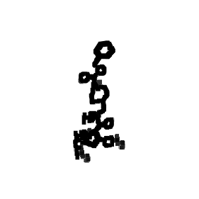 Cc1cc(C)c(C(=O)NCC2CCN(C(=O)OCc3ccccc3)CC2)[nH]1